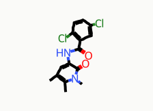 Cc1cc(NC(=O)c2cc(Cl)ccc2Cl)c(=O)n(C)c1C